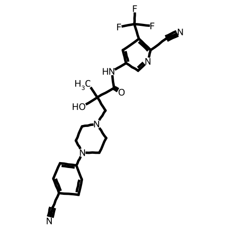 CC(O)(CN1CCN(c2ccc(C#N)cc2)CC1)C(=O)Nc1cnc(C#N)c(C(F)(F)F)c1